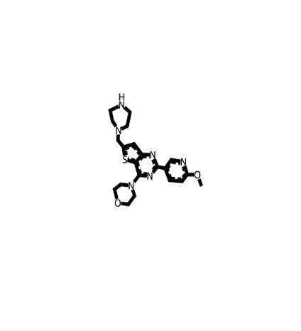 COc1ccc(-c2nc(N3CCOCC3)c3sc(CN4CCNCC4)cc3n2)cn1